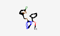 CCOC(c1ccccc1)n1cnnc1SCc1ccc(Cl)s1